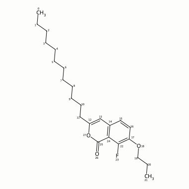 CCCCCCCCCCCCc1cc2ccc(OCCC)c(F)c2c(=O)o1